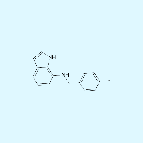 Cc1ccc(CNc2cccc3cc[nH]c23)cc1